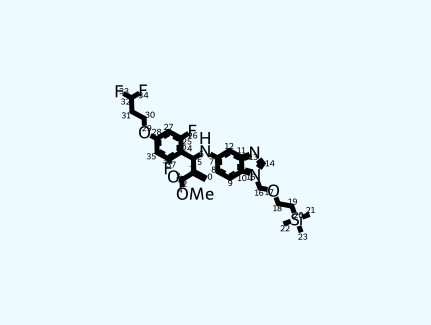 C=C(C(=O)OC)C(Nc1ccc2c(c1)ncn2COCC[Si](C)(C)C)c1c(F)cc(OCCC(F)F)cc1F